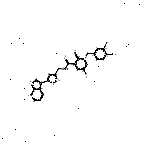 O=C(NCc1noc(-c2c[nH]c3ncccc23)n1)c1cc(Cl)cn(Cc2ccc(F)c(F)c2)c1=O